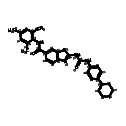 Cc1cc(C)c(NC(=O)c2ccc3nc(NC(=O)Nc4ccc(C5CCCCC5)cc4)sc3c2)c(C)c1